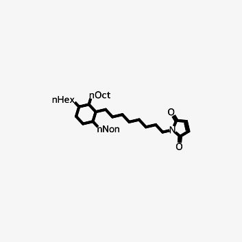 CCCCCCCCCC1CCC(CCCCCC)C(CCCCCCCC)C1CCCCCCCCN1C(=O)C=CC1=O